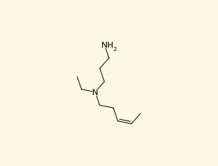 C/C=C\CCN(CC)CCCN